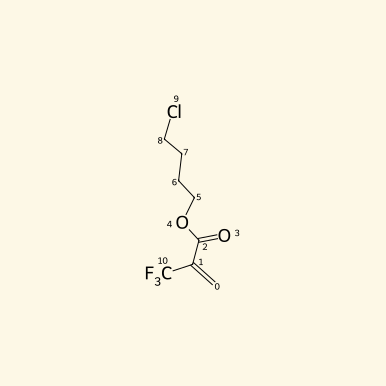 C=C(C(=O)OCCCCCl)C(F)(F)F